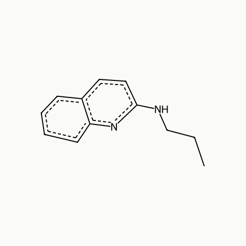 CCCNc1ccc2ccccc2n1